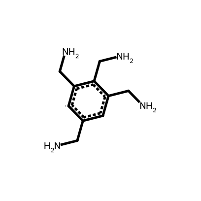 NCc1[c]c(CN)c(CN)c(CN)c1